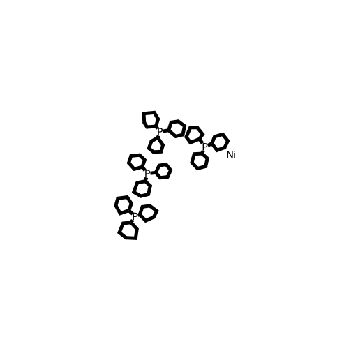 C1CCC(P(C2CCCCC2)C2CCCCC2)CC1.C1CCC(P(C2CCCCC2)C2CCCCC2)CC1.C1CCC(P(C2CCCCC2)C2CCCCC2)CC1.C1CCC(P(C2CCCCC2)C2CCCCC2)CC1.[Ni]